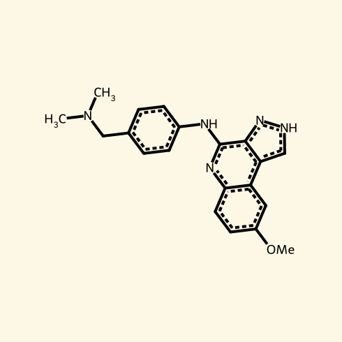 COc1ccc2nc(Nc3ccc(CN(C)C)cc3)c3n[nH]cc3c2c1